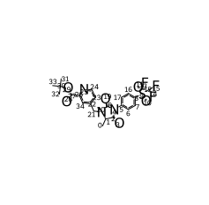 CC1C(=O)N(c2ccc(S(=O)(=O)C(F)(F)F)cc2)C(=O)N1Cc1ccnc(C(=O)OC(C)(C)C)c1